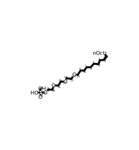 CCCCCCCC/C=C\CCCCCCCCOCCOCCOCCOP(=O)(O)O